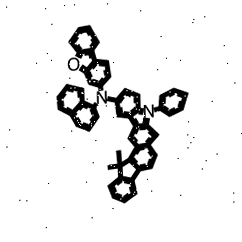 CC1(C)c2ccccc2-c2ccc3cc4c(cc3c21)c1cc(N(c2ccc3c(c2)oc2ccccc23)c2cccc3ccccc23)ccc1n4-c1ccccc1